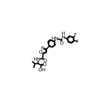 CC(C)C(NC(=O)c1cc(-c2ccc(NC(=O)Nc3ccc(F)c(F)c3)cc2)no1)C(=O)O